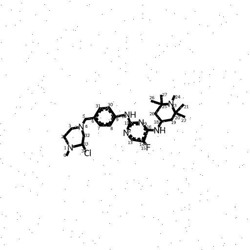 CN1CCN(Cc2ccc(Nc3ncc(F)c(NC4CC(C)(C)N(C)C(C)(C)C4)n3)cc2)CC1Cl